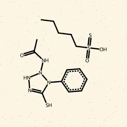 CC(=O)NN1NN=C(S)N1c1ccccc1.CCCCCS(=O)(O)=S